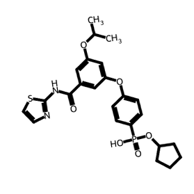 CC(C)Oc1cc(Oc2ccc(P(=O)(O)OC3CCCC3)cc2)cc(C(=O)Nc2nccs2)c1